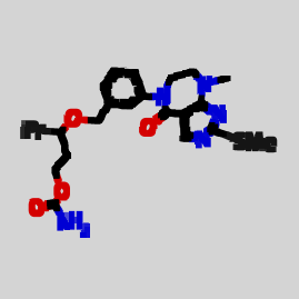 CSc1ncc2c(n1)N(C)CCN(c1cccc(COC(CCOC(N)=O)C(C)C)c1)C2=O